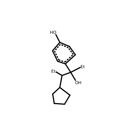 CCC(C1CCCC1)C(O)(CC)c1ccc(O)cc1